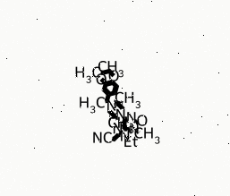 CCn1c(CC#N)nc2c(N3C[C@@H](C)N(C(C)c4ccc5c(c4)OC(C)(C)CO5)C[C@@H]3C)nc(=O)n(C)c21